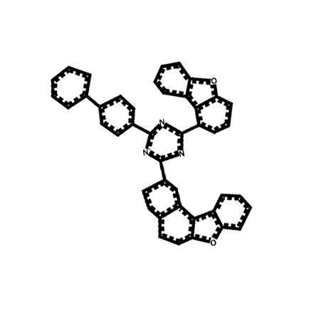 c1ccc(-c2ccc(-c3nc(-c4ccc5ccc6oc7ccccc7c6c5c4)nc(-c4cccc5oc6ccccc6c45)n3)cc2)cc1